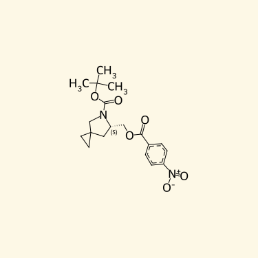 CC(C)(C)OC(=O)N1CC2(CC2)C[C@H]1COC(=O)c1ccc([N+](=O)[O-])cc1